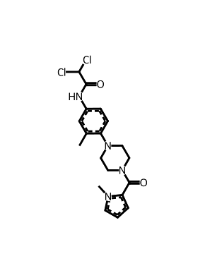 Cc1cc(NC(=O)C(Cl)Cl)ccc1N1CCN(C(=O)c2cccn2C)CC1